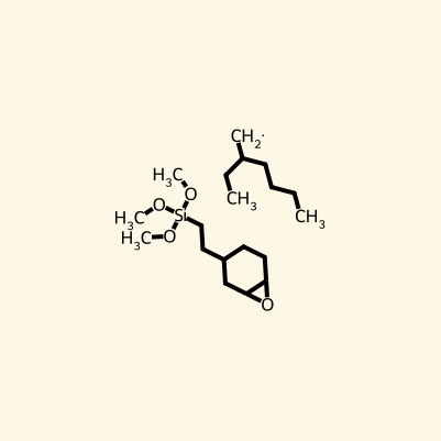 CO[Si](CCC1CCC2OC2C1)(OC)OC.[CH2]C(CC)CCCC